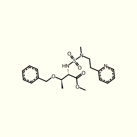 COC(=O)[C@@H](NS(=O)(=O)N(C)CCc1ccccn1)[C@@H](C)OCc1ccccc1